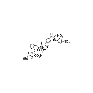 CC(=O)N1Cc2cc(NC(=C[N+](=O)[O-])Nc3ccc([N+](=O)[O-])cc3)ccc2C1C(=O)NC(Cc1ccccc1CC(NC(=O)CC(C)(C)C)C(=O)O)C(=O)O